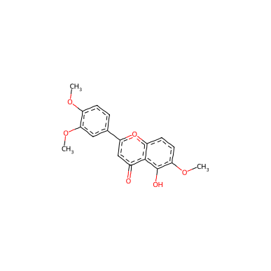 COc1ccc(-c2cc(=O)c3c(O)c(OC)ccc3o2)cc1OC